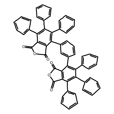 O=C1OC(=O)c2c1c(-c1ccccc1)c(-c1ccccc1)c(-c1ccccc1)c2-c1cccc(-c2c3c(c(-c4ccccc4)c(-c4ccccc4)c2-c2ccccc2)C(=O)OC3=O)c1